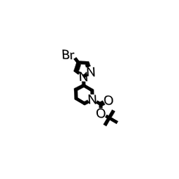 CC(C)(C)OC(=O)N1CCCC(n2cc(Br)cn2)C1